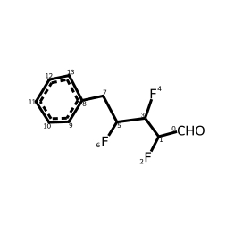 O=CC(F)C(F)C(F)Cc1ccccc1